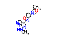 CNc1ncc(-c2nc3cc(N4CCO[C@@H](C)C4)ccc3o2)c2ccnnc12